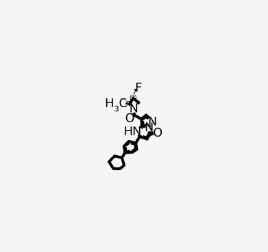 C[C@@H]1[C@H](CF)CN1C(=O)c1cnn2c(=O)cc(-c3ccc(C4CCCCC4)cc3)[nH]c12